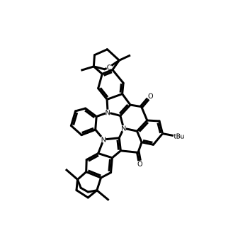 CC(C)(C)c1cc2c(=O)c3c4cc5c(cc4n4c6ccccc6n6c7cc8c(cc7c7c(=O)c(c1)c2n(c34)c76)C1(C)CCC8(C)CC1)C1(C)CCC5(C)CC1